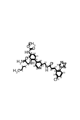 CCCC[C@@H](Nc1cc(NC(=O)OC)ccc1-c1ccnc(CNC(=O)/C=C/c2cc(Cl)ccc2-n2cnnn2)c1)C(N)=O